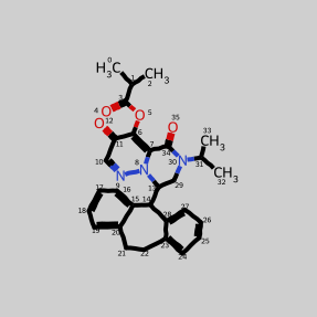 CC(C)C(=O)Oc1c2n(ncc1=O)C(C1c3ccccc3CCc3ccccc31)CN(C(C)C)C2=O